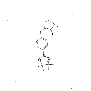 C[C@@H]1CCCN1Cc1ccc(B2OC(C)(C)C(C)(C)O2)cc1